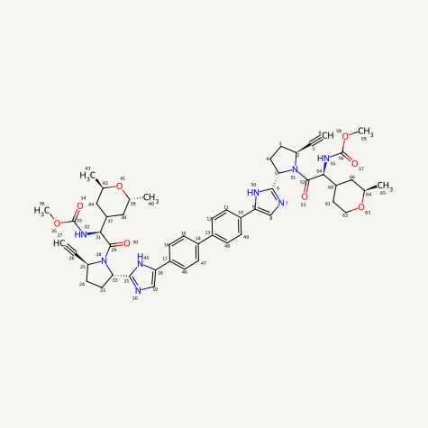 C#C[C@@H]1CC[C@@H](c2ncc(-c3ccc(-c4ccc(-c5cnc([C@@H]6CC[C@@H](C#C)N6C(=O)[C@@H](NC(=O)OC)C6C[C@@H](C)O[C@H](C)C6)[nH]5)cc4)cc3)[nH]2)N1C(=O)[C@@H](NC(=O)OC)C1CCO[C@H](C)C1